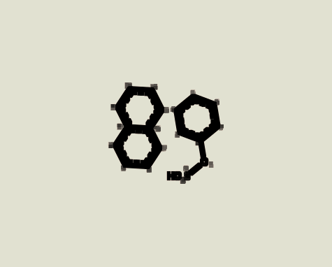 O=S(=O)(O)Oc1ccccc1.c1ccc2ccccc2c1